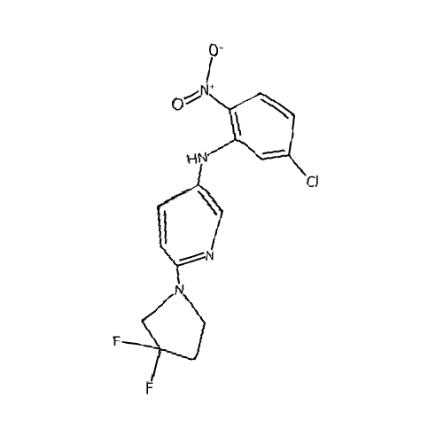 O=[N+]([O-])c1ccc(Cl)cc1Nc1ccc(N2CCC(F)(F)C2)nc1